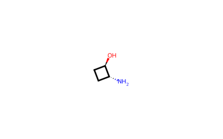 N[C@@H]1CC[C@H]1O